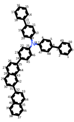 c1ccc(-c2ccc(N(c3ccc(-c4ccccc4)cc3)c3ccc(-c4ccc5ccc(-c6ccc7ccccc7c6)cc5c4)cc3)cc2)cc1